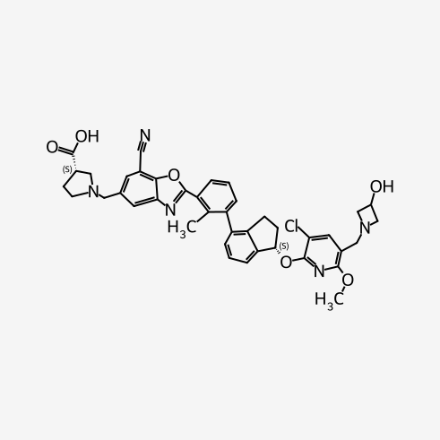 COc1nc(O[C@H]2CCc3c(-c4cccc(-c5nc6cc(CN7CC[C@H](C(=O)O)C7)cc(C#N)c6o5)c4C)cccc32)c(Cl)cc1CN1CC(O)C1